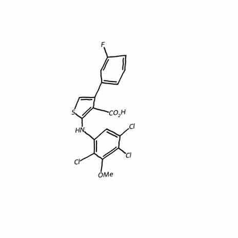 COc1c(Cl)c(Cl)cc(Nc2scc(-c3cccc(F)c3)c2C(=O)O)c1Cl